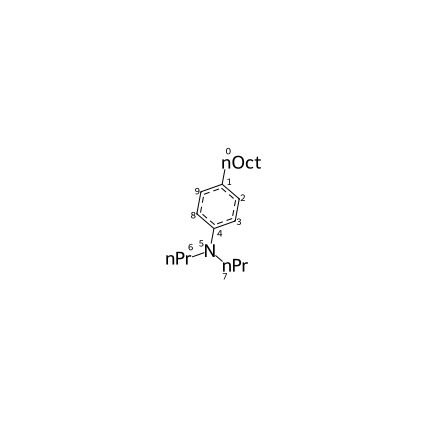 CCCCCCCCc1ccc(N(CCC)CCC)cc1